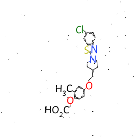 Cc1cc(OCCC2CCN(c3nc4ccc(Cl)cc4s3)CC2)ccc1OCC(=O)O